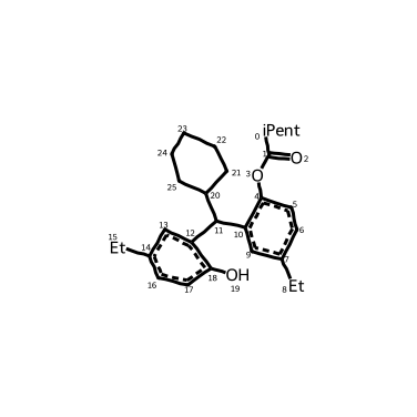 CCCC(C)C(=O)Oc1ccc(CC)cc1C(c1cc(CC)ccc1O)C1CCCCC1